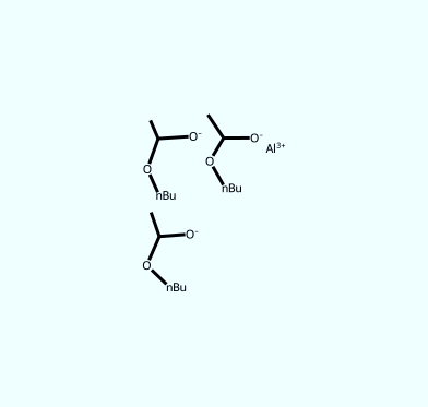 CCCCOC(C)[O-].CCCCOC(C)[O-].CCCCOC(C)[O-].[Al+3]